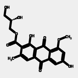 COc1cc(O)cc2c1C(=O)c1c(cc(C)c(C(=O)OC[C@@H](O)CO)c1O)C2=O